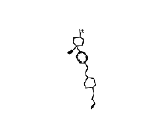 C#CC1(c2ccc(CCC3CCC(CCC=C)CC3)cc2)CCC(CC)CC1